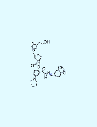 O=C(Nc1ccc(N2CCCCC2)cc1C(=O)N/N=C/c1ccc(Cl)c(C(F)(F)F)c1)c1cccc(Cn2cnc(CCO)c2)c1